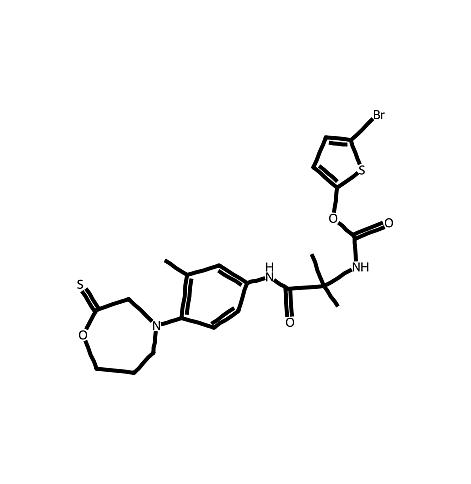 Cc1cc(NC(=O)C(C)(C)NC(=O)Oc2ccc(Br)s2)ccc1N1CCCOC(=S)C1